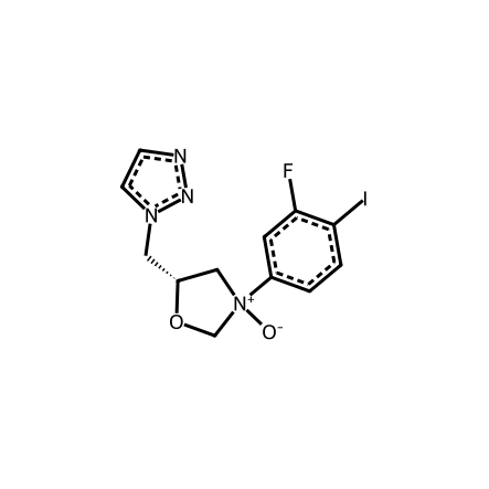 [O-][N+]1(c2ccc(I)c(F)c2)CO[C@H](Cn2ccnn2)C1